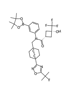 CC(C)(F)c1nc(C23CCC(CN(c4cccc(B5OC(C)(C)C(C)(C)O5)c4)C(=O)[C@H]4C[C@](O)(C(F)(F)F)C4)(CC2)CC3)no1